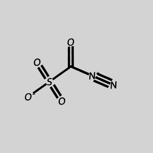 N#[N+]C(=O)S(=O)(=O)[O-]